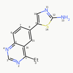 CCc1ncnc2ccc(-c3cnc(N)s3)cc12